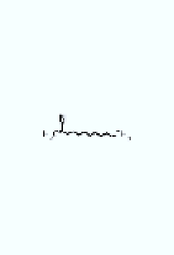 C=C(C#N)CCCCCCCCCC